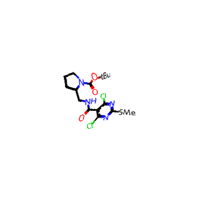 CSc1nc(Cl)c(C(=O)NCC2CCCN2C(=O)OC(C)(C)C)c(Cl)n1